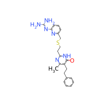 Cc1nc(CCSCc2cccc(N=C(N)N)n2)[nH]c(=O)c1CCc1ccccc1